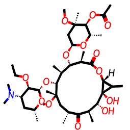 CCO[C@H]1[C@H](O[C@@H]2[C@@H](C)[C@H](O[C@H]3C[C@@](C)(OC)[C@@H](OC(C)=O)[C@H](C)O3)[C@@H](C)C(=O)O[C@@H]3C(C)[C@]3(O)[C@H](O)[C@@H](C)C(=O)[C@H](C)C[C@]2(C)OC)O[C@H](C)C[C@@H]1N(C)C